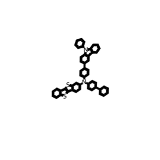 c1ccc(-c2ccc(N(c3ccc(-c4ccc5c(c4)c4ccccc4n5-c4ccccc4)cc3)c3ccc4c(c3)sc3c5ccccc5sc43)cc2)cc1